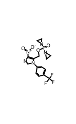 O=[N+]([O-])c1ncn(-c2ccc(C(F)(F)F)cc2)c1COP(=O)(N1CC1)N1CC1